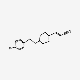 N#CC=CC1CCC(CCc2ccc(F)cc2)CC1